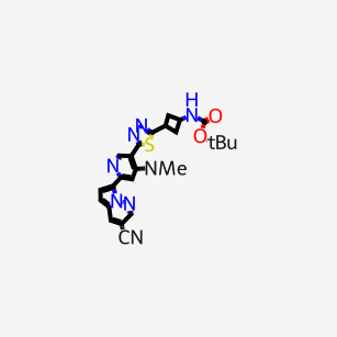 CNc1cc(-c2ccc3cc(C#N)cnn23)ncc1-c1nnc(C2CC(NC(=O)OC(C)(C)C)C2)s1